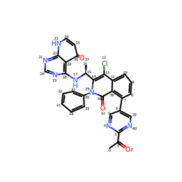 CC(=O)c1ncc(-c2cccc3c(Cl)c([C@H](C)Nc4ncnc5[nH]ccc(=O)c45)n(-c4ccccc4)c(=O)c23)cn1